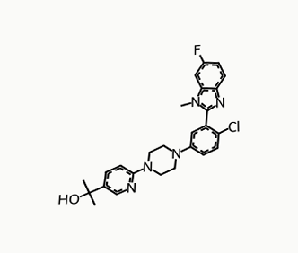 Cn1c(-c2cc(N3CCN(c4ccc(C(C)(C)O)cn4)CC3)ccc2Cl)nc2ccc(F)cc21